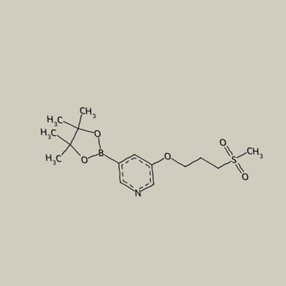 CC1(C)OB(c2cncc(OCCCS(C)(=O)=O)c2)OC1(C)C